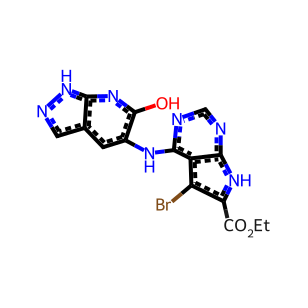 CCOC(=O)c1[nH]c2ncnc(Nc3cc4cn[nH]c4nc3O)c2c1Br